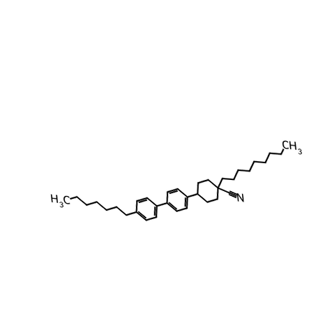 CCCCCCCCCC1(C#N)CCC(c2ccc(-c3ccc(CCCCCCC)cc3)cc2)CC1